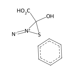 [N-]=[N+]1SC1(O)C(=O)O.c1ccccc1